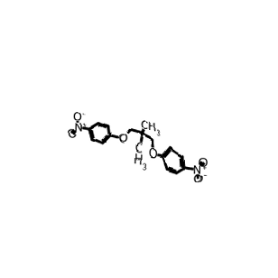 CC(C)(COc1ccc([N+](=O)[O-])cc1)COc1ccc([N+](=O)[O-])cc1